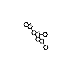 c1ccc(-c2ccc3c(ccc4c5ccc(-c6cnc7ccccc7c6)cc5nc(-c5ccccc5)c34)c2)cc1